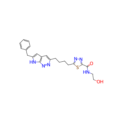 O=C(NCCO)c1nnc(CCCCc2cc3cc(Cc4ccccc4)[nH]c3nn2)s1